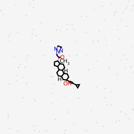 C[C@]12CCC3C(CC[C@@H]4C[C@@](O)(C#CC5CC5)CC[C@H]34)C1CC[C@@H]2C(=O)Cn1nccn1